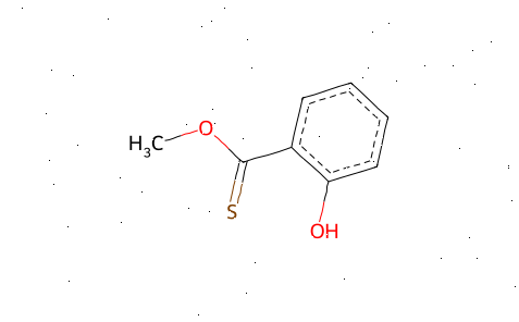 COC(=S)c1ccccc1O